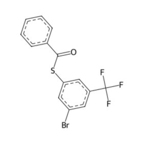 O=C(Sc1cc(Br)cc(C(F)(F)F)c1)c1ccccc1